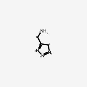 NCC1=NN=NC1